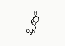 O=[N+]([O-])CC1C2CC[C@H]3CC2C1C3